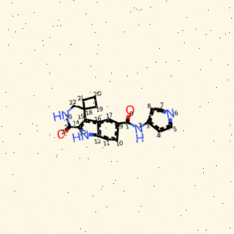 O=C(Nc1ccncc1)c1ccc2[nH]c3c(c2c1)C1(CCC1)CNC3=O